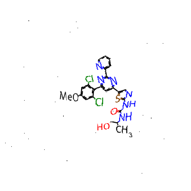 COc1cc(Cl)c(-c2cc(-c3cnc(NC(=O)N[C@@H](C)CO)s3)nc(-c3ccccn3)n2)c(Cl)c1